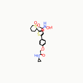 O=C(C[C@]1(c2ccc(-c3ccc(OCC(=O)NC4CC4)cc3)s2)CCCCS1(=O)=O)NO